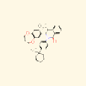 N#CC1(c2ccc(N3C(=O)c4ccccc4[C@H](C(=O)O)[C@H]3c3ccc4c(c3)OCCCO4)cc2)CCCCC1